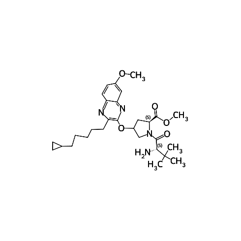 COC(=O)[C@@H]1CC(Oc2nc3cc(OC)ccc3nc2CCCCCC2CC2)CN1C(=O)[C@@H](N)C(C)(C)C